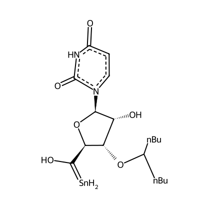 CCCCC(CCCC)O[C@H]1[C@@H](O)[C@H](n2ccc(=O)[nH]c2=O)O[C@@H]1[C](O)=[SnH2]